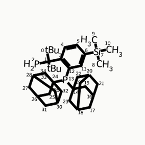 CC(C)(C)C(P)(c1ccc([Si](C)(C)C)cc1P(C12CC3CC(CC(C3)C1)C2)C12CC3CC(CC(C3)C1)C2)C(C)(C)C